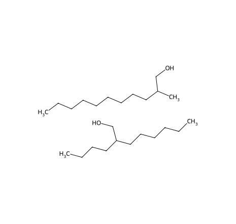 CCCCCCC(CO)CCCC.CCCCCCCCCC(C)CO